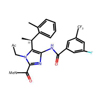 CNC(=O)c1nc(NC(=O)c2cc(F)cc(C(F)(F)F)c2)c([C@@H](C)c2ccccc2C)n1CC(C)=O